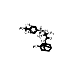 CC(C)(NS(=O)(=O)c1ccc(C(C)(C)O)cc1)C(=O)NC12CC3CC(CC(O)(C3)C1)C2